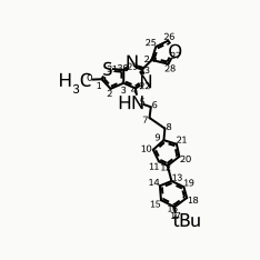 Cc1cc2c(NCCCc3ccc(-c4ccc(C(C)(C)C)cc4)cc3)nc(-c3ccoc3)nc2s1